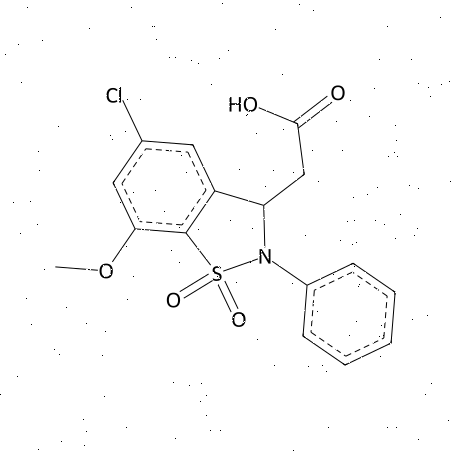 COc1cc(Cl)cc2c1S(=O)(=O)N(c1ccccc1)C2CC(=O)O